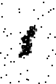 Cc1nc(-c2cccc(NC(=O)C3(F)CCN(C#N)C3)c2)cs1